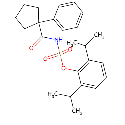 CC(C)c1cccc(C(C)C)c1OS(=O)(=O)NC(=O)C1(c2ccccc2)CCCC1